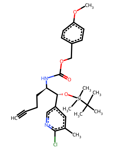 C#CCC[C@@H](NC(=O)OCc1ccc(OC)cc1)[C@H](O[Si](C)(C)C(C)(C)C)c1cnc(Cl)c(C)c1